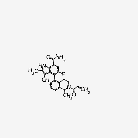 C=CC(=O)N1CCc2c(-c3c(F)cc(C(N)=O)c4[nH]c(C)c(C)c34)cccc2C1C